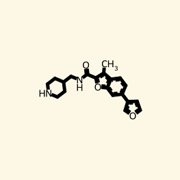 Cc1c(C(=O)NCC2CCNCC2)oc2cc(-c3ccoc3)ccc12